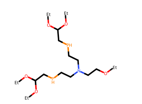 CCOCCN(CCPCC(OCC)OCC)CCPCC(OCC)OCC